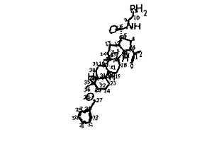 C=C(C)[C@@H]1C[C@@H](C(=O)NCCP)C2CC[C@]3(C)[C@H](CC[C@@H]4[C@@]5(C)CC[C@H](OCc6ccccc6)C(C)(C)[C@@H]5CC[C@]43C)[C@H]21